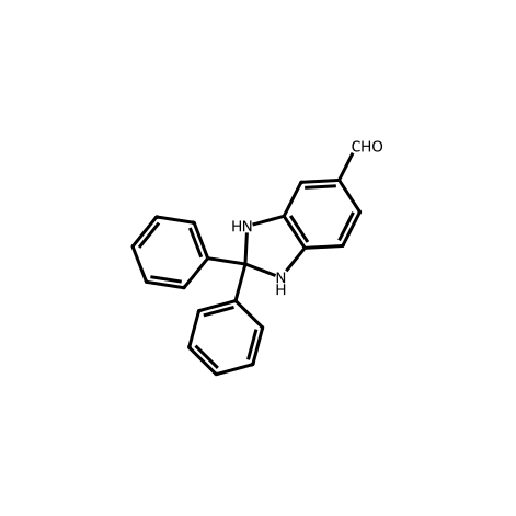 O=Cc1ccc2c(c1)NC(c1ccccc1)(c1ccccc1)N2